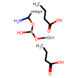 CCCC(=O)O.CCCC(=O)O.CCCCCCCCOB(O)OC(N)CCCCCCC